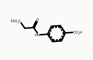 CCOC(=O)CC(=O)Nc1ccc(C(=O)O)cc1